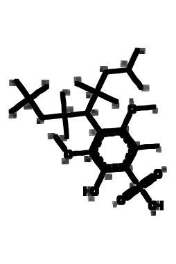 COc1c(C)c(S(=O)(=O)O)c(O)c(OC)c1C(C(C)(C)CC(C)C)C(C)(C)CC(C)(C)C